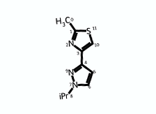 Cc1nc(-c2ccn(C(C)C)n2)cs1